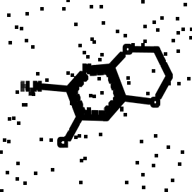 Nc1nc2c(cc1Cl)OCCO2